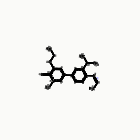 C/C=N\c1ccc(-c2cc(OCC)c(=O)n(C)c2)cc1C(C)C